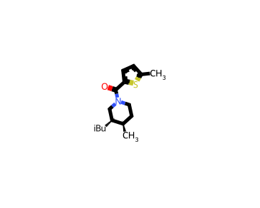 CCC(C)[C@H]1CN(C(=O)c2ccc(C)s2)CC[C@H]1C